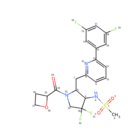 CS(=O)(=O)NC1C(Cc2cccc(-c3cc(F)cc(F)c3)n2)N(C(=O)C2CCO2)CC1(F)F